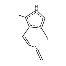 C=N/C=C\c1c(I)c[nH]c1C